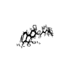 Cc1nccc2c1c(=O)n(C)c1cc(OCC(N)CCC(F)(F)F)c(Cl)cc21